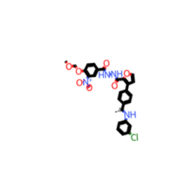 COCOc1ccc(C(=O)NNC(=O)c2occc2-c2ccc([C@@H](C)Nc3cccc(Cl)c3)cc2)cc1[N+](=O)[O-]